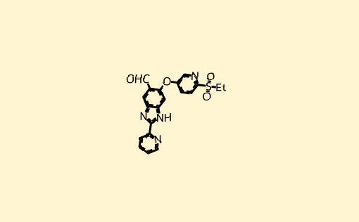 CCS(=O)(=O)c1ccc(Oc2cc3[nH]c(-c4ccccn4)nc3cc2C=O)cn1